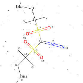 CC(C)(C)CC(C)(C)S(=O)(=O)C(=[N+]=[N-])S(=O)(=O)C(C)(C)CC(C)(C)C